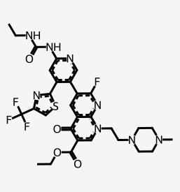 CCNC(=O)Nc1cc(-c2nc(C(F)(F)F)cs2)c(-c2cc3c(=O)c(C(=O)OCC)cn(CCN4CCN(C)CC4)c3nc2F)cn1